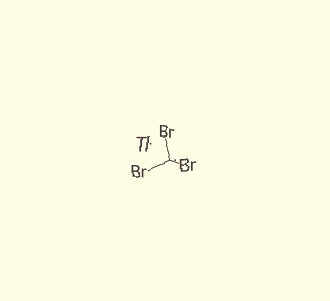 Br[C](Br)Br.[Tl]